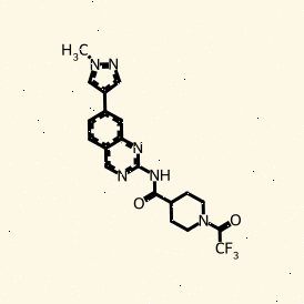 Cn1cc(-c2ccc3cnc(NC(=O)C4CCN(C(=O)C(F)(F)F)CC4)nc3c2)cn1